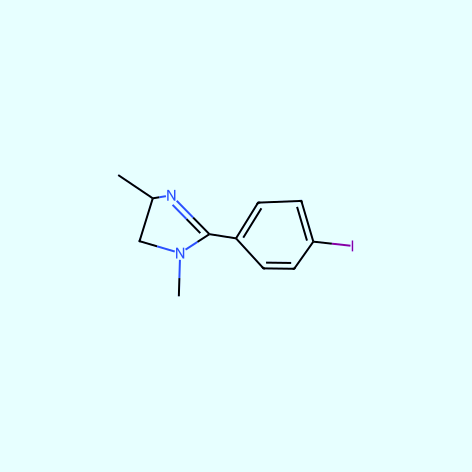 CC1CN(C)C(c2ccc(I)cc2)=N1